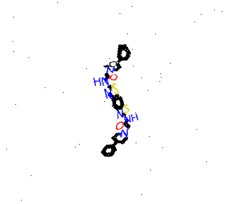 O=C(CN1CCC(c2ccccc2)CC1)Nc1nc2cc3nc(NC(=O)CN4CCC(c5ccccc5)CC4)sc3cc2s1